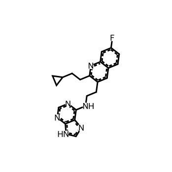 Fc1ccc2cc(CCNc3ncnc4[nH]cnc34)c(CCC3CC3)nc2c1